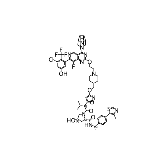 Cc1ncsc1-c1ccc([C@H](C)NC(=O)[C@@H]2C[C@@H](O)CN2C(=O)[C@@H](c2cc(OCC3CCN(CCOc4nc(N5CC6CCC(C5)N6)c5cnc(-c6cc(O)cc(Cl)c6C(F)(F)F)c(F)c5n4)CC3)no2)C(C)C)cc1